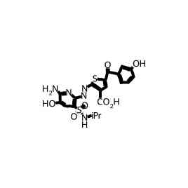 CC(C)NS(=O)(=O)c1cc(O)c(N)nc1N=Nc1sc(C(=O)c2cccc(O)c2)cc1C(=O)O